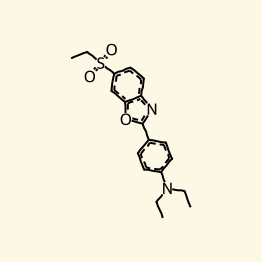 CCN(CC)c1ccc(-c2nc3ccc(S(=O)(=O)CC)cc3o2)cc1